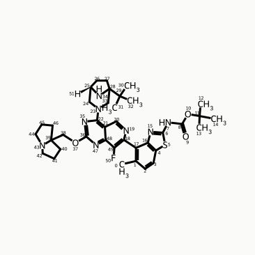 Cc1ccc2sc(NC(=O)OC(C)(C)C)nc2c1-c1ncc2c(N3C[C@@H]4CCC(C(C)(C)C)(C3)N4)nc(OCC34CCCN3CCC4)nc2c1F